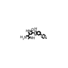 CC(=N)/C(=C\N)c1c[nH]c(=O)c(-c2nc3cc(N4CCN(C)CC4)ccc3[nH]2)c1